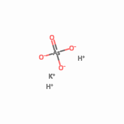 O=[As]([O-])([O-])[O-].[H+].[H+].[K+]